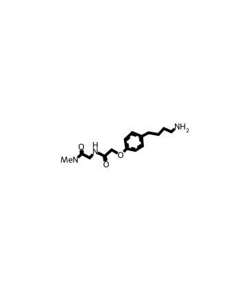 CNC(=O)CNC(=O)COc1ccc(CCCCN)cc1